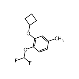 Cc1ccc(OC(F)F)c(OC2CCC2)c1